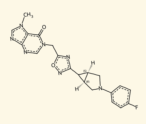 Cn1cnc2ncn(Cc3nc(C4[C@H]5CN(c6ccc(F)cc6)C[C@@H]45)no3)c(=O)c21